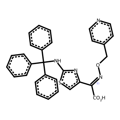 O=C(O)/C(=N/OCc1ccncc1)c1csc(NC(c2ccccc2)(c2ccccc2)c2ccccc2)n1